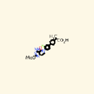 COc1nc(N)c2c(n1)CCN(c1ccc(C3CCC(C(C)C(=O)O)CC3)cc1F)C2=O